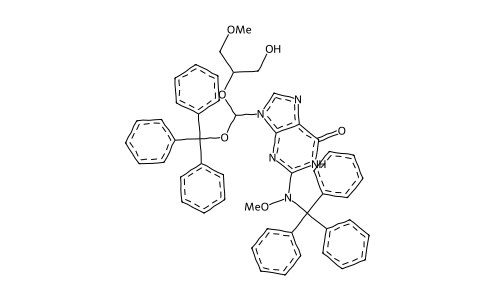 COCC(CO)OC(OC(c1ccccc1)(c1ccccc1)c1ccccc1)n1cnc2c(=O)[nH]c(N(OC)C(c3ccccc3)(c3ccccc3)c3ccccc3)nc21